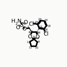 NS(=O)(=O)OC[C@@H]1OC2(CCCC2)O[C@H]1c1c(Cl)cccc1Cl